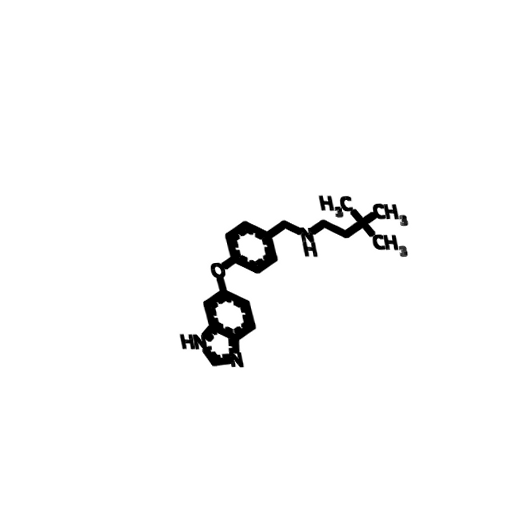 CC(C)(C)CCNCc1ccc(Oc2ccc3nc[nH]c3c2)cc1